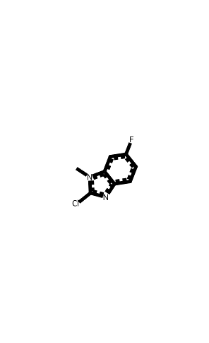 Cn1c(Cl)nc2ccc(F)cc21